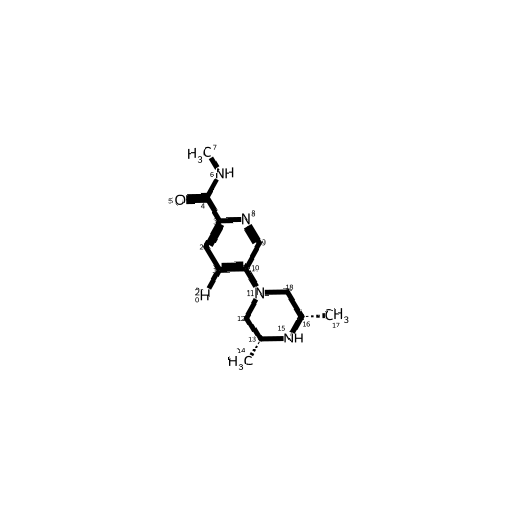 [2H]c1cc(C(=O)NC)ncc1N1C[C@@H](C)N[C@@H](C)C1